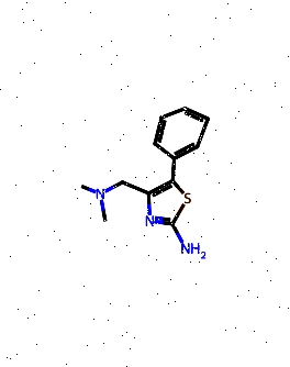 CN(C)Cc1nc(N)sc1-c1ccccc1